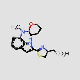 CN(c1cccc2cc(C3=NC(CC(=O)O)CS3)[nH]c12)[C@@H]1CCCCO1